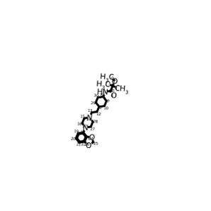 COC(C)(C)C(=O)NC1CCC(CCN2CCN(c3cccc4c3OCO4)CC2)CC1